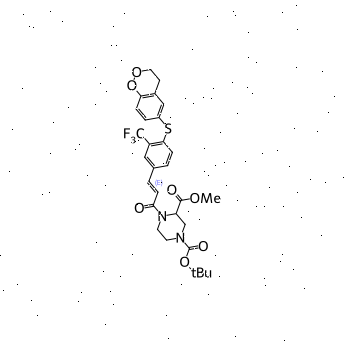 COC(=O)C1CN(C(=O)OC(C)(C)C)CCN1C(=O)/C=C/c1ccc(Sc2ccc3c(c2)CCOO3)c(C(F)(F)F)c1